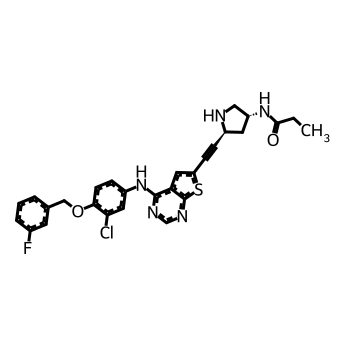 CCC(=O)N[C@H]1CN[C@H](C#Cc2cc3c(Nc4ccc(OCc5cccc(F)c5)c(Cl)c4)ncnc3s2)C1